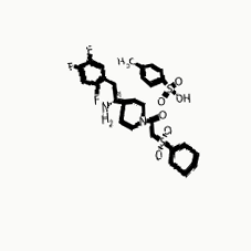 Cc1ccc(S(=O)(=O)O)cc1.N[C@H](Cc1cc(F)c(F)cc1F)C1CCN(C(=O)CS(=O)(=O)C2CCCCC2)CC1